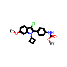 CCOc1ccc2c(Cl)c(-c3ccc(NC(=O)OC(C)C)cc3)n(C3CCC3)c2c1